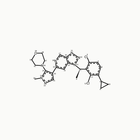 C[C@H](c1c(Cl)ccc(C2CC2)c1Cl)n1nnc2cnc(-c3cnn(C)c3N3CCOCC3)cc21